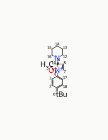 CC(C)(C)c1ccc([N+]2([O-])C=CC2(C)N2CCCCC2)cc1